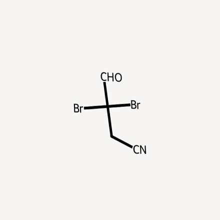 N#CCC(Br)(Br)C=O